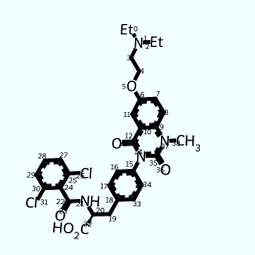 CCN(CC)CCOc1ccc2c(c1)c(=O)n(-c1ccc(C[C@H](NC(=O)c3c(Cl)cccc3Cl)C(=O)O)cc1)c(=O)n2C